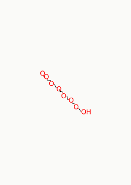 O=COCCOCCOCCOCCOCCOCCO